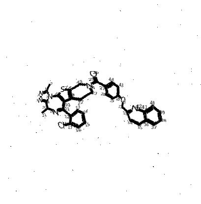 Cc1nnc2n1-c1sc3c(c1C(c1ccccc1Cl)=NC2C)CCN(C(=O)c1ccc(OCc2ccc4ccccc4n2)cc1)C3